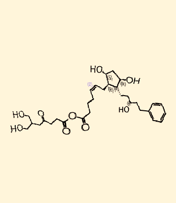 O=C(CCC(=O)OC(=O)CCC/C=C\C[C@@H]1[C@@H](CC[C@@H](O)CCc2ccccc2)[C@H](O)C[C@@H]1O)CC(CO)CO